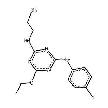 CCOc1nc(NCCO)nc(Nc2ccc(I)cc2)n1